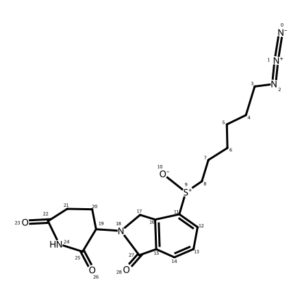 [N-]=[N+]=NCCCCCC[S+]([O-])c1cccc2c1CN(C1CCC(=O)NC1=O)C2=O